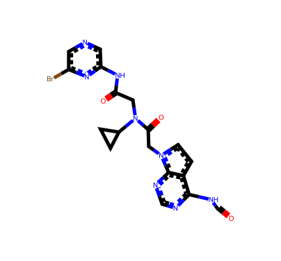 O=CNc1ncnc2c1ccn2CC(=O)N(CC(=O)Nc1cncc(Br)n1)C1CC1